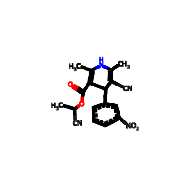 CC1=C(C#N)C(c2cccc([N+](=O)[O-])c2)C(C(=O)OC(C)C#N)=C(C)N1